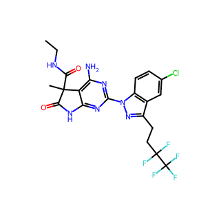 CCNC(=O)C1(C)C(=O)Nc2nc(-n3nc(CCC(F)(F)C(F)(F)F)c4cc(Cl)ccc43)nc(N)c21